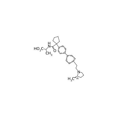 CC(NC(=O)C1(c2ccc(-c3ccc(CCN4CCC[C@H]4C)cc3)cc2)CCCC1)C(=O)O